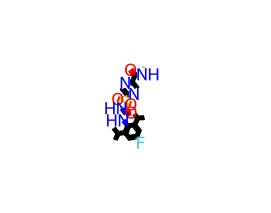 CNC(=O)c1cnc(S(=O)(=O)NC(=O)Nc2c(C(C)C)cc(F)cc2C(C)C)cn1